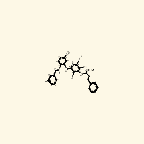 CCOC(=O)C(CCc1ccccc1)Oc1c(F)c(F)nc(Oc2cc(C#N)ccc2OCc2ccccc2)c1F